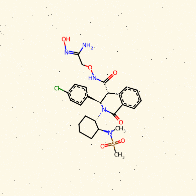 CN([C@H]1CCCC[C@@H]1N1C(=O)c2ccccc2[C@@H](C(=O)NOC/C(N)=N/O)[C@@H]1c1ccc(Cl)cc1)S(C)(=O)=O